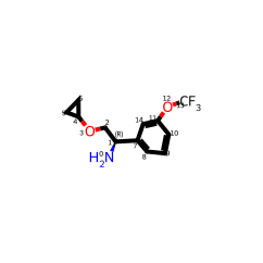 N[C@@H](COC1CC1)c1cccc(OC(F)(F)F)c1